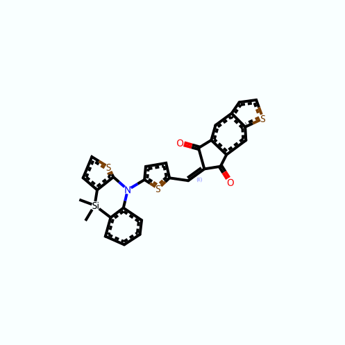 C[Si]1(C)c2ccccc2N(c2ccc(/C=C3\C(=O)c4cc5ccsc5cc4C3=O)s2)c2sccc21